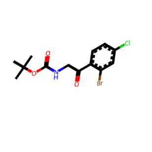 CC(C)(C)OC(=O)NCC(=O)c1ccc(Cl)cc1Br